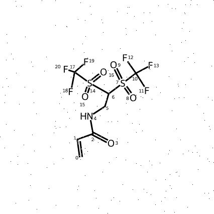 C=CC(=O)NCC(S(=O)(=O)C(F)(F)F)S(=O)(=O)C(F)(F)F